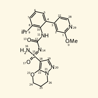 COc1cc(-c2cccc(C(C)C)c2NC(=O)N=S(N)(=O)c2cnn3c2OCCC3)ccn1